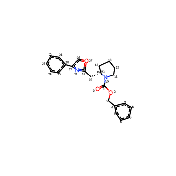 O=C(OCc1ccccc1)N1CCCC[C@H]1Cc1nc(-c2ccccc2)co1